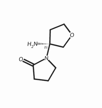 N[C@]1(N2CCCC2=O)CCOC1